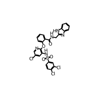 O=C(NCc1nc2ccccc2[nH]1)c1ccccc1Oc1ncc(Cl)cc1NS(=O)(=O)c1ccc(Cl)c(Cl)c1